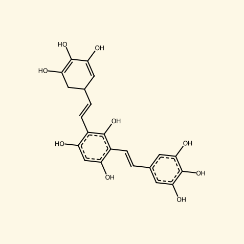 OC1=CC(/C=C/c2c(O)cc(O)c(/C=C/c3cc(O)c(O)c(O)c3)c2O)CC(O)=C1O